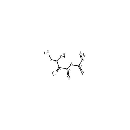 C=CC(=O)OC(=O)C(=C)C(O)CO